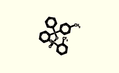 Cc1ccc(S(OS(=O)(=O)c2ccccc2C(F)(F)F)(c2ccccc2)c2ccccc2)cc1